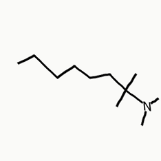 CCCCCCC(C)(C)N(C)C